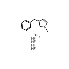 B.CN1C=CN(Cc2ccccc2)C1.F.F.F.F